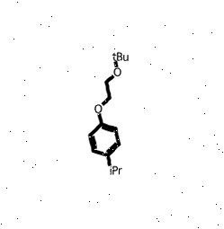 CC(C)c1ccc(OCCOC(C)(C)C)cc1